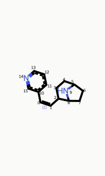 C(=C/C1CCC2CCC1N2)/c1cccnc1